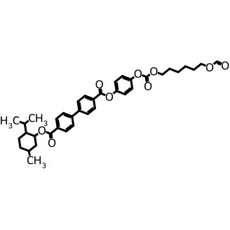 CC1CCC(C(C)C)C(OC(=O)c2ccc(-c3ccc(C(=O)Oc4ccc(OC(=O)OCCCCCCOC=O)cc4)cc3)cc2)C1